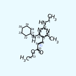 CCNc1nc(C)c(/C=C/C(=O)OCC)c(NC2CCCCC2)n1